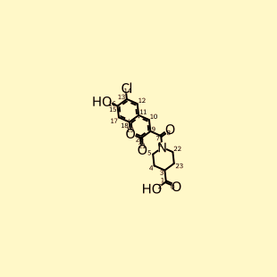 O=C(O)C1CCN(C(=O)c2cc3cc(Cl)c(O)cc3oc2=O)CC1